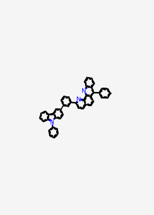 c1ccc(-c2c3ccccc3nc3c2ccc2ccc(-c4cccc(-c5ccc6c(c5)c5ccccc5n6-c5ccccc5)c4)nc23)cc1